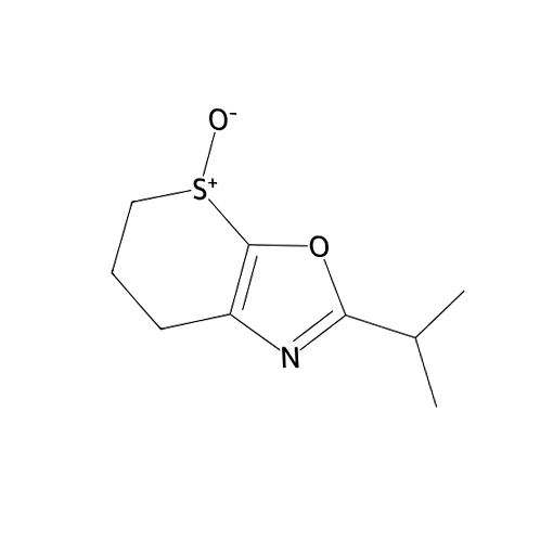 CC(C)c1nc2c(o1)[S+]([O-])CCC2